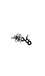 Cc1n[nH]c(C)c1S(=O)(=O)N1CCC(=C2Cc3ccccc3N=C2CF)CC1